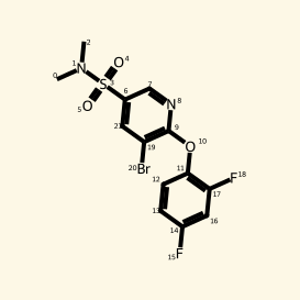 CN(C)S(=O)(=O)c1cnc(Oc2ccc(F)cc2F)c(Br)c1